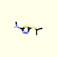 CNc1nnc(SC(C)C)s1